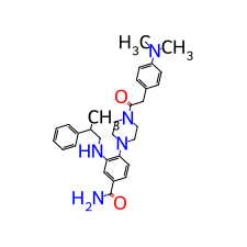 CC(CNc1cc(C(N)=O)ccc1N1CCN(C(=O)Cc2ccc(N(C)C)cc2)CC1)c1ccccc1